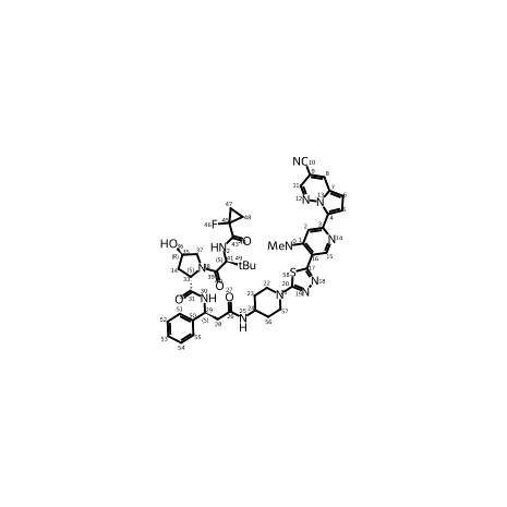 CNc1cc(-c2ccc3cc(C#N)cnn23)ncc1-c1nnc(N2CCC(NC(=O)C[C@H](NC(=O)[C@@H]3C[C@@H](O)CN3C(=O)[C@@H](NC(=O)C3(F)CC3)C(C)(C)C)c3ccccc3)CC2)s1